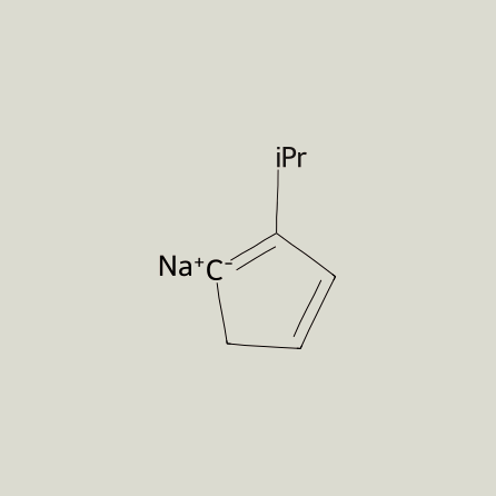 CC(C)C1=[C-]CC=C1.[Na+]